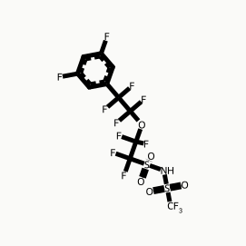 O=S(=O)(NS(=O)(=O)C(F)(F)C(F)(F)OC(F)(F)C(F)(F)c1cc(F)cc(F)c1)C(F)(F)F